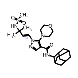 CC(C)(/C=C/n1ncc(C(=O)NC2C3CC4CC(C3)CC2C4)c1N1CCOCC1)NS(C)(=O)=O